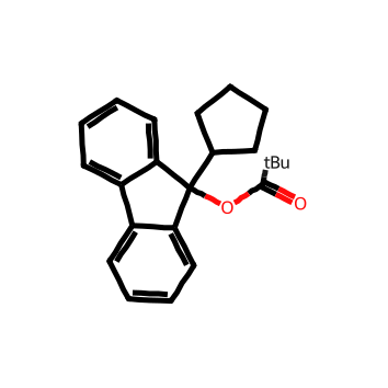 CC(C)(C)C(=O)OC1(C2CCCC2)c2ccccc2-c2ccccc21